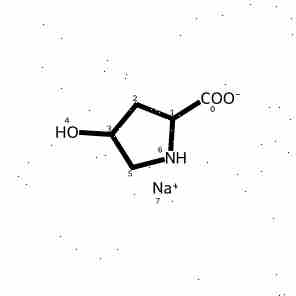 O=C([O-])C1CC(O)CN1.[Na+]